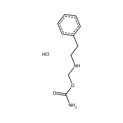 Cl.NC(=O)OCNCCc1ccccc1